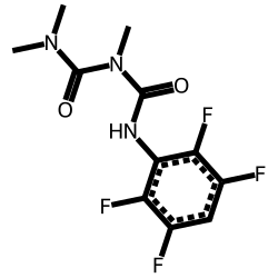 CN(C)C(=O)N(C)C(=O)Nc1c(F)c(F)cc(F)c1F